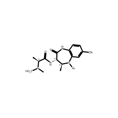 CC(=O)N1c2cc(C#N)ccc2NC(=O)[C@@H](NC(=O)[C@H](C)N(C)C(=O)O)[C@@H]1C